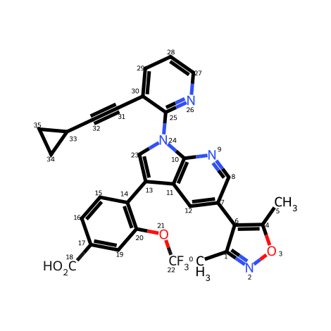 Cc1noc(C)c1-c1cnc2c(c1)c(-c1ccc(C(=O)O)cc1OC(F)(F)F)cn2-c1ncccc1C#CC1CC1